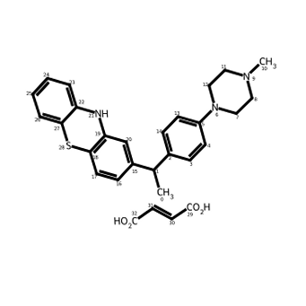 CC(c1ccc(N2CCN(C)CC2)cc1)c1ccc2c(c1)Nc1ccccc1S2.O=C(O)/C=C/C(=O)O